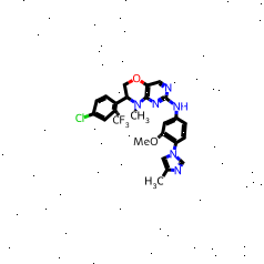 COc1cc(Nc2ncc3c(n2)N(C)C(c2ccc(Cl)cc2C(F)(F)F)CO3)ccc1-n1cnc(C)c1